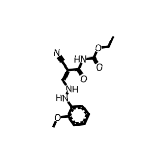 CCOC(=O)NC(=O)C(C#N)=CNNc1ccccc1OC